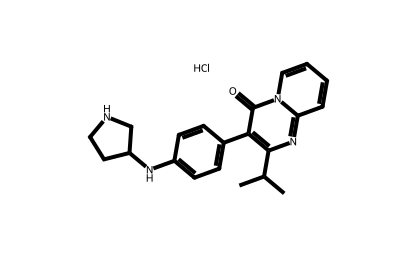 CC(C)c1nc2ccccn2c(=O)c1-c1ccc(NC2CCNC2)cc1.Cl